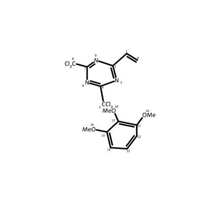 C=Cc1nc(C(Cl)(Cl)Cl)nc(C(Cl)(Cl)Cl)n1.COc1cccc(OC)c1OC